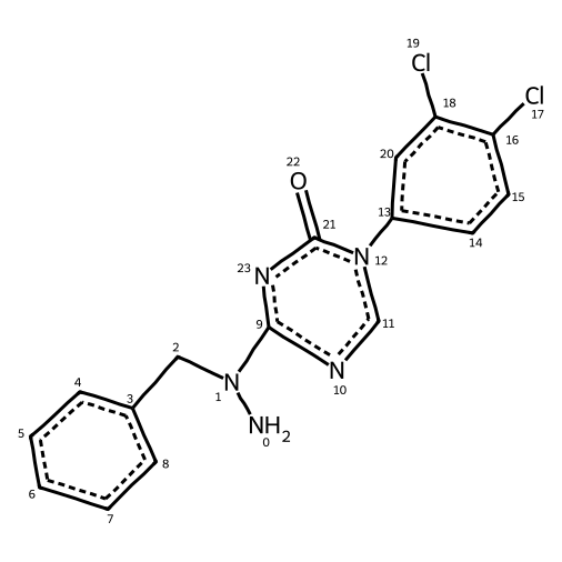 NN(Cc1ccccc1)c1ncn(-c2ccc(Cl)c(Cl)c2)c(=O)n1